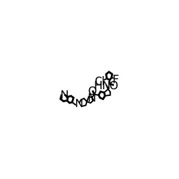 O=C(NC1CCc2ccc(C(=O)N3CCC4(CCN(Cc5ccc6ncccc6c5)CC4)C3)cc21)c1c(F)cccc1Cl